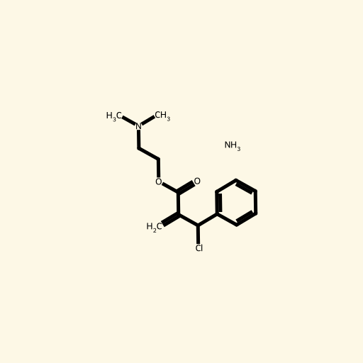 C=C(C(=O)OCCN(C)C)C(Cl)c1ccccc1.N